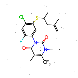 C=C(C)CC(C)Sc1cc(-n2c(=O)c(C)c(C(F)(F)F)n(C)c2=O)c(F)cc1Cl